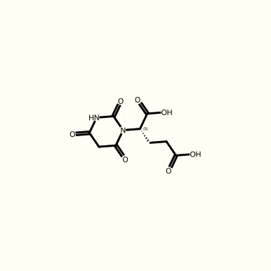 O=C(O)CC[C@@H](C(=O)O)N1C(=O)CC(=O)NC1=O